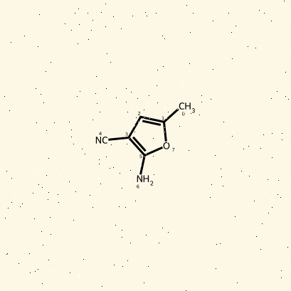 Cc1cc(C#N)c(N)o1